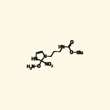 CC(C)(C)OC(=O)NCCCN1C=CNC1(ON)[N+](=O)[O-]